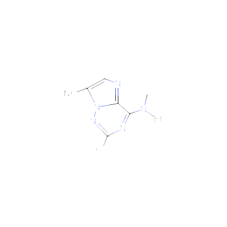 CCN(C)c1nc(Cl)nn2c(C#N)cnc12